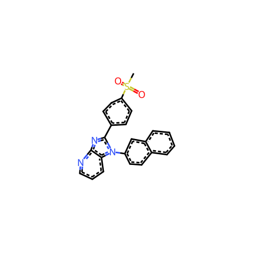 CS(=O)(=O)c1ccc(-c2nc3ncccc3n2-c2ccc3ccccc3c2)cc1